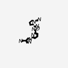 N#Cc1cnn(-c2cccc(-c3nc([C@@H]4CCCN4C#N)no3)n2)c1